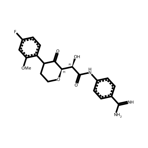 COc1cc(F)ccc1C1CCO[C@H]([C@@H](O)C(=O)Nc2ccc(C(=N)N)cc2)C1=O